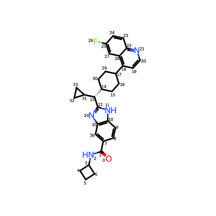 O=C(NC1CCC1)c1ccc2[nH]c([C@@H](C3CCC(c4ccnc5ccc(F)cc45)CC3)C3CC3)nc2c1